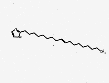 CCCCCCCCC=CCCCCCCCCc1ncc[nH]1